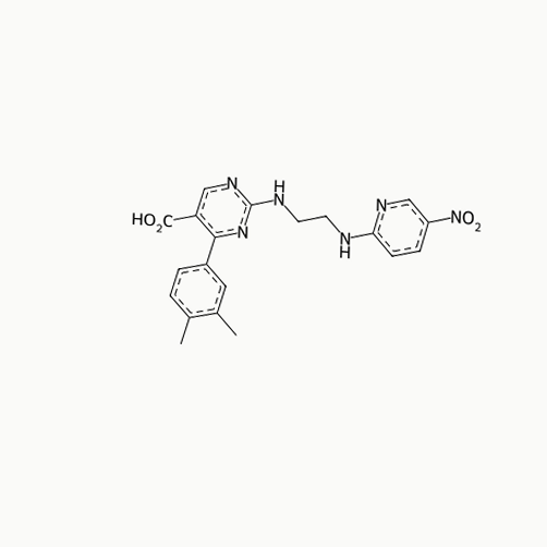 Cc1ccc(-c2nc(NCCNc3ccc([N+](=O)[O-])cn3)ncc2C(=O)O)cc1C